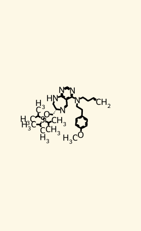 C=CCCN(CCc1ccc(OC)cc1)c1ncnc2c1C=N[C@H](CO[Si](C(C)C)(C(C)C)C(C)C)CN2